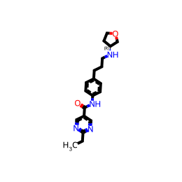 CCc1ncc(C(=O)Nc2ccc(CCCN[C@@H]3CCOC3)cc2)cn1